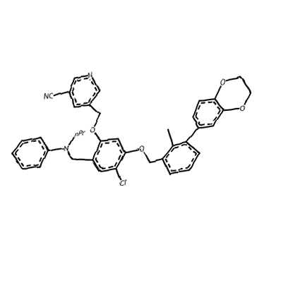 CCCN(Cc1cc(Cl)c(OCc2cccc(-c3ccc4c(c3)OCCO4)c2C)cc1OCc1cncc(C#N)c1)c1ccccc1